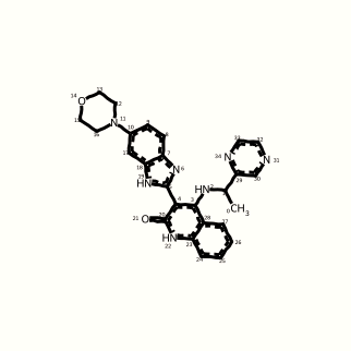 CC(Nc1c(-c2nc3ccc(N4CCOCC4)cc3[nH]2)c(=O)[nH]c2ccccc12)c1cnccn1